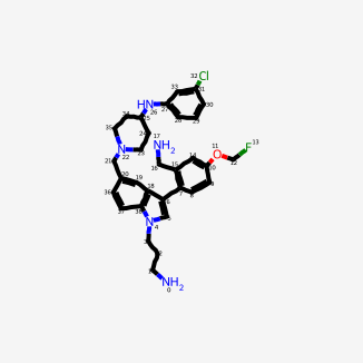 NCCCn1cc(-c2ccc(OCF)cc2CN)c2cc(CN3CCC(Nc4cccc(Cl)c4)CC3)ccc21